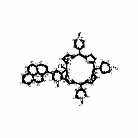 C[n+]1ccc(C2=C3C=CC(=N3)C(c3cc[n+](C)cc3)=c3ccc([nH]3)=C(c3cc[n+](C)cc3)C3=NC(Cl)(C=C3)C(Cl)(c3cc(-c4ccc5ccc6cccc7ccc4c5c67)c[n+](C)c3)c3ccc2[nH]3)cc1